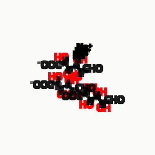 O=C[C@H](O)[C@@H](O)[C@H](O)[C@H](O)C(=O)[O-].O=C[C@H](O)[C@@H](O)[C@H](O)[C@H](O)C(=O)[O-].O=C[C@H](O)[C@@H](O)[C@H](O)[C@H](O)C(=O)[O-].[Na+].[Na+].[Na+]